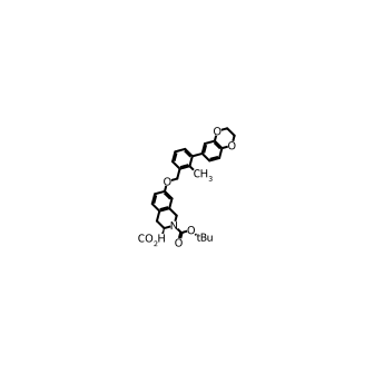 Cc1c(COc2ccc3c(c2)CN(C(=O)OC(C)(C)C)[C@@H](C(=O)O)C3)cccc1-c1ccc2c(c1)OCCO2